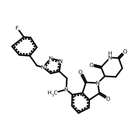 CN(Cc1cn(Cc2ccc(F)cc2)nn1)c1cccc2c1C(=O)N(C1CCC(=O)NC1=O)C2=O